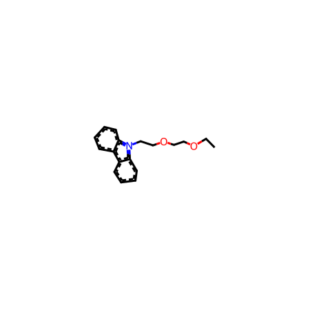 CCOCCOCCn1c2ccccc2c2ccccc21